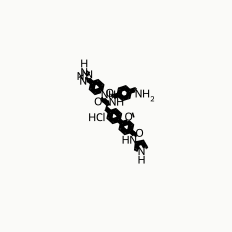 COc1cc(C(=O)N[C@@H]2CCNC2)ccc1-c1ccc(C[C@H](NC(=O)C2CCC(CN)CC2)C(=O)Nc2ccc(-c3nn[nH]n3)cc2)cc1.Cl